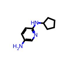 Nc1ccc(NC2CCCC2)nc1